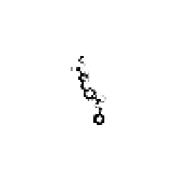 CCOC(=O)c1cc(CC2CCN(C(=O)OCc3ccccc3)CC2)on1